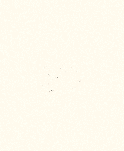 CCC(C)Nc1cc(C(=O)N2CCC(NC(=O)O)CC2)nc(-c2cnn3ccsc23)n1